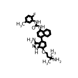 Cc1ccc(F)c(NC(=O)Nc2ccc(-c3ccc(OCCC(C)(C)N)c4[nH]nc(N)c34)c3ccccc23)c1